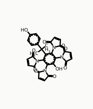 CC(C)(c1ccc(O)cc1)c1c(N2C(=O)C=CC2=O)c(N2C(=O)C=CC2=O)c(O)c(N2C(=O)C=CC2=O)c1N1C(=O)C=CC1=O